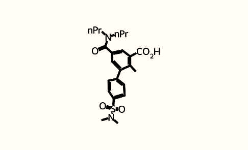 CCCN(CCC)C(=O)c1cc(C(=O)O)c(C)c(-c2ccc(S(=O)(=O)N(C)C)cc2)c1